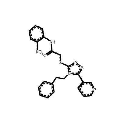 O=C(CSc1nnc(-c2cccnc2)n1CCc1ccccc1)Nc1ccccc1[N+](=O)[O-]